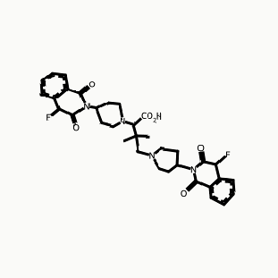 CC(C)(CN1CCC(N2C(=O)c3ccccc3C(F)C2=O)CC1)C(C(=O)O)N1CCC(N2C(=O)c3ccccc3C(F)C2=O)CC1